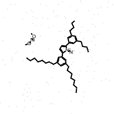 CCCCCCCCc1cc(CCCCCCCC)cc(C2=CC=C(c3cc(CCCC)cc(CCCC)c3)[N+]2=[N-])c1.C[O][Ni][O]C